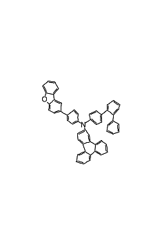 c1ccc(-c2ccccc2-c2ccc(N(c3ccc(-c4ccc5oc6ccccc6c5c4)cc3)c3ccc4c5ccccc5c5ccccc5c4c3)cc2)cc1